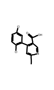 Cc1cc(-c2cc(Cl)ccc2Cl)c(C(=O)O)cn1